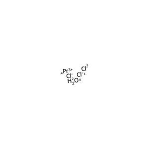 O.[Cl-].[Cl-].[Cl-].[Pr+3]